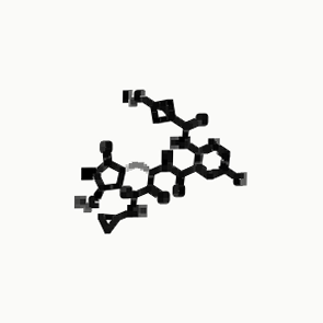 C[C@@H]1C[C@@H](C[C@H](NC(=O)c2cc(Cl)cnc2NC(=O)C23CC(C(F)(F)F)(C2)C3)C(=O)C(=O)NC2CC2)C(=O)N1